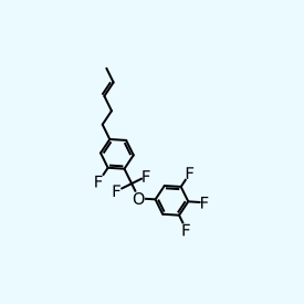 C/C=C/CCc1ccc(C(F)(F)Oc2cc(F)c(F)c(F)c2)c(F)c1